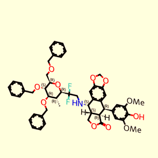 COc1cc([C@@H]2c3cc4c(cc3[C@@H](NCC(F)(F)[C@@H]3O[C@H](COCc5ccccc5)[C@@H](OCc5ccccc5)[C@H](OCc5ccccc5)[C@H]3C)[C@H]3COC(=O)[C@H]23)OCO4)cc(OC)c1O